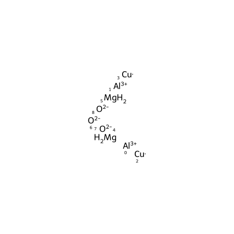 [Al+3].[Al+3].[Cu].[Cu].[MgH2].[MgH2].[O-2].[O-2].[O-2]